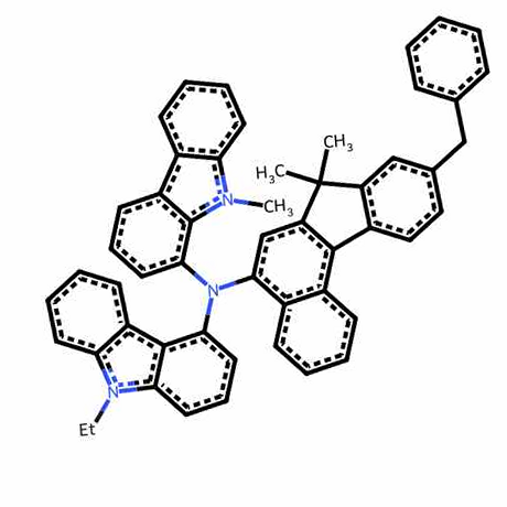 CCn1c2ccccc2c2c(N(c3cc4c(c5ccccc35)-c3ccc(Cc5ccccc5)cc3C4(C)C)c3cccc4c5ccccc5n(C)c34)cccc21